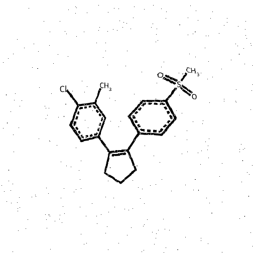 Cc1cc(C2=C(c3ccc(S(C)(=O)=O)cc3)CCC2)ccc1Cl